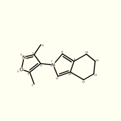 Cc1noc(C)c1-n1cc2c(c1)CCCC2